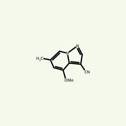 COc1cc(C)cn2ncc(C#N)c12